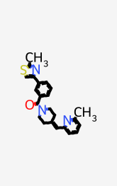 Cc1cccc(C=C2CCN(C(=O)c3cccc(-c4csc(C)n4)c3)CC2)n1